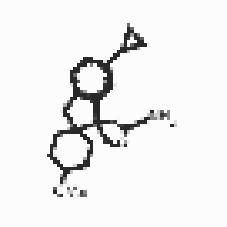 COC1CCC2(CC1)Cc1ccc(C3CC3)cc1C21CCSC(N)=N1